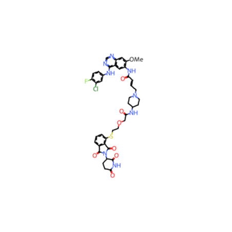 COc1cc2ncnc(Nc3ccc(F)c(Cl)c3)c2cc1NC(=O)/C=C/CN1CCC(NC(=O)COCCSc2cccc3c2C(=O)N(C2CCC(=O)NC2=O)C3=O)CC1